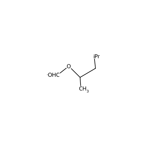 CC(C)CC(C)O[C]=O